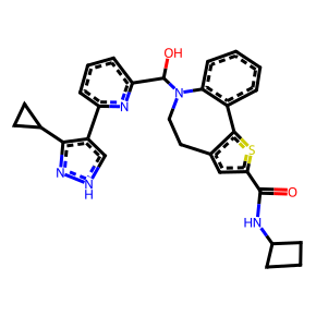 O=C(NC1CCC1)c1cc2c(s1)-c1ccccc1N(C(O)c1cccc(-c3c[nH]nc3C3CC3)n1)CC2